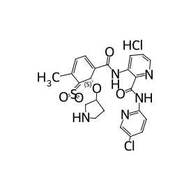 CC1=CC=C(C(=O)Nc2cccnc2C(=O)Nc2ccc(Cl)cn2)[C@H](OC2CCNC2)C1=S(=O)=O.Cl